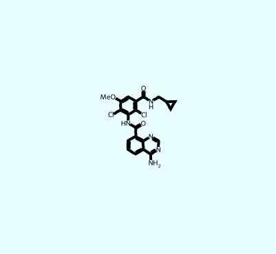 COc1cc(C(=O)NCC2CC2)c(Cl)c(NC(=O)c2cccc3c(N)ncnc23)c1Cl